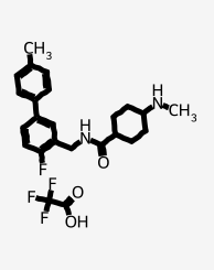 CNC1CCC(C(=O)NCc2cc(-c3ccc(C)cc3)ccc2F)CC1.O=C(O)C(F)(F)F